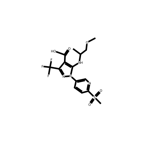 COCC(C)Nc1c(C(=O)O)c(C(F)(F)F)nn1-c1ccc(S(C)(=O)=O)nc1